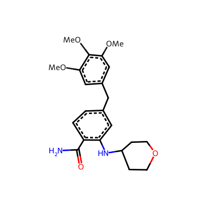 COc1cc(Cc2ccc(C(N)=O)c(NC3CCOCC3)c2)cc(OC)c1OC